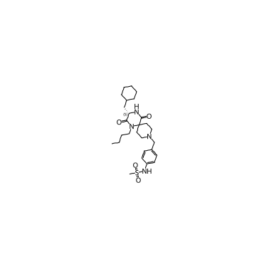 CCCCN1C(=O)[C@H](CC2CCCCC2)NC(=O)C12CCN(Cc1ccc(NS(C)(=O)=O)cc1)CC2